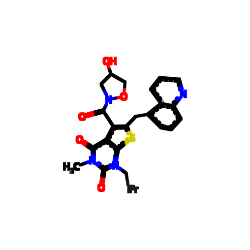 CC(C)Cn1c(=O)n(C)c(=O)c2c(C(=O)N3CC(O)CO3)c(Cc3cccc4ncccc34)sc21